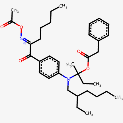 CCCCC/C(=N\OC(C)=O)C(=O)c1ccc(N(CC(CC)CCCC)C(C)(CC)OC(=O)Cc2ccccc2)cc1